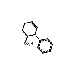 O=C(O)C1CCC=C[C@@H]1c1ccccc1